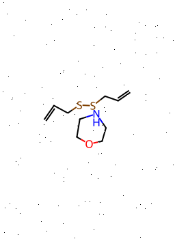 C1COCCN1.C=CCSSCC=C